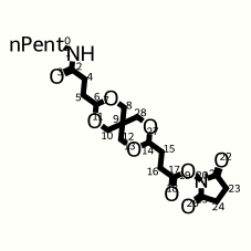 CCCCCNC(=O)CCC1OCC2(CO1)COC(CCC(=O)ON1C(=O)CCC1=O)OC2